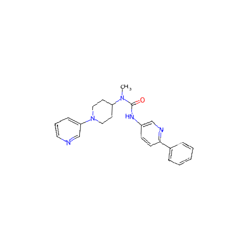 CN(C(=O)Nc1ccc(-c2ccccc2)nc1)C1CCN(c2cccnc2)CC1